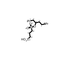 CC(C)CCC(CC(C)C)OS(=O)(=O)CCCS(=O)(=O)O